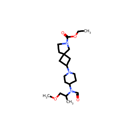 CCOC(=O)N1CCC2(CC(N3CCC(N(C=O)C(C)COC)CC3)C2)C1